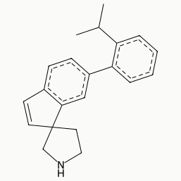 CC(C)c1ccccc1-c1ccc2c(c1)C1(C=C2)CCNC1